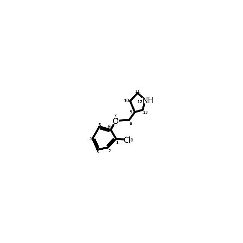 Clc1ccccc1OCC1CCNC1